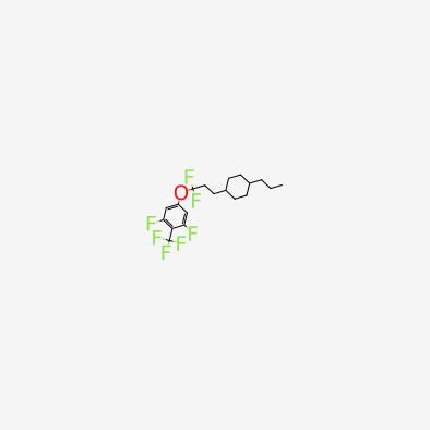 CCCC1CCC(CCC(F)(F)Oc2cc(F)c(C(F)(F)F)c(F)c2)CC1